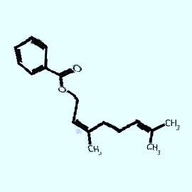 CC(C)=CCC/C(C)=C\COC(=O)c1ccccc1